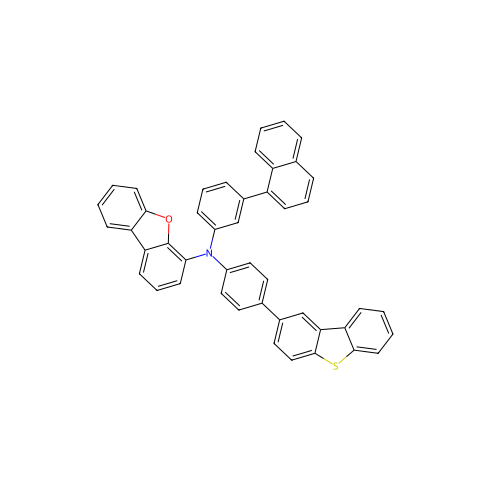 c1cc(-c2cccc3ccccc23)cc(N(c2ccc(-c3ccc4sc5ccccc5c4c3)cc2)c2cccc3c2oc2ccccc23)c1